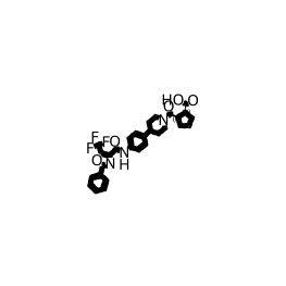 O=C(Nc1ccc(C2CCN(C(=O)[C@@H]3CCC[C@H]3C(=O)O)CC2)cc1)c1nc(-c2ccccc2)oc1C(F)(F)F